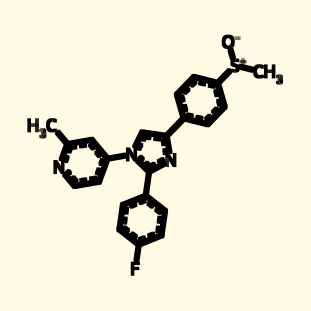 Cc1cc(-n2cc(-c3ccc([S+](C)[O-])cc3)nc2-c2ccc(F)cc2)ccn1